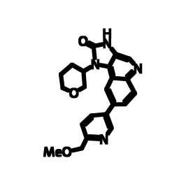 COCc1ccc(-c2ccc3ncc4[nH]c(=O)n(C5CCCOC5)c4c3c2)cn1